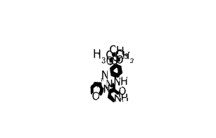 CC(C)(C)S(=O)(=O)c1ccc(Nc2nn([C@@H]3COCCC[C@@H]3C#N)c3cc[nH]c(=O)c23)cc1